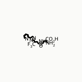 N=S(=O)(CCC(n1ncc(-c2ccccn2)n1)C(F)(F)F)CC[C@H](N)C(=O)O